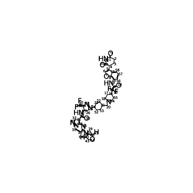 O=C1CC[C@@H](c2coc3c(NC(=O)C(F)(F)C4CCN(CC5CCC(n6cc(NC(=O)c7cnn8ccc(N9C[C@H]%10C[C@@H]9CO%10)nc78)c(C(F)F)n6)CC5)CC4)cccc23)C(=O)N1